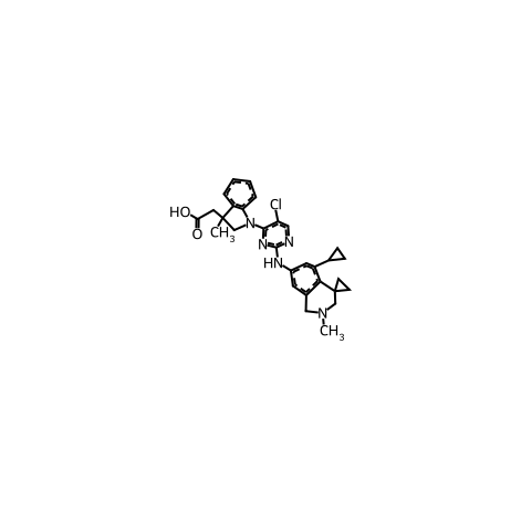 CN1Cc2cc(Nc3ncc(Cl)c(N4CC(C)(CC(=O)O)c5ccccc54)n3)cc(C3CC3)c2C2(CC2)C1